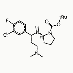 CN(C)CCC(N[C@@H]1CCCN1C(=O)OC(C)(C)C)c1ccc(F)c(Cl)c1